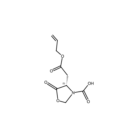 C=CCOC(=O)C[C@H]1C(=O)OCN1C(=O)O